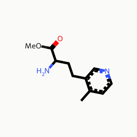 COC(=O)C(N)CCc1cnccc1C